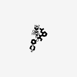 CCc1c(Oc2cccc(N3CCN(C)CC3)c2)nc(NS(=O)(=O)c2cnn(C)c2)nc1-c1ccccc1CC(C)C